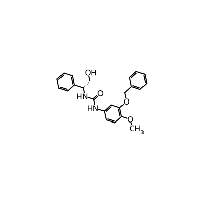 COc1ccc(NC(=O)N[C@@H](CO)c2ccccc2)cc1OCc1ccccc1